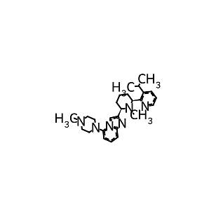 CC(C)c1cccnc1[C@@H]1CCC[C@H](c2cn3c(N4CCN(C)CC4)cccc3n2)N1C